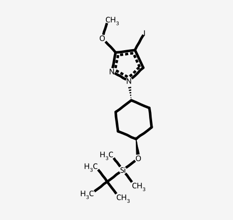 COc1nn([C@H]2CC[C@H](O[Si](C)(C)C(C)(C)C)CC2)cc1I